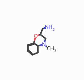 CN1CC(CN)OC2=CC=CCC21